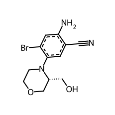 N#Cc1cc(N2CCOC[C@H]2CO)c(Br)cc1N